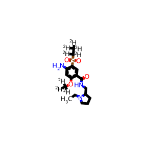 [2H]C([2H])([2H])Oc1cc(N)c(S(=O)(=O)C([2H])([2H])C([2H])([2H])[2H])cc1C(=O)NCC1CCCN1CC